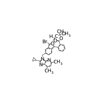 Cc1cc(C)c2nc(C3CC3)n(Cc3ccc4c(-c5ccccc5C(=O)OC(C)(C)C)oc(Br)c4c3)c2n1